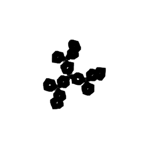 c1ccc2ccc(N(c3ccccc3)c3ccc(N(C4=CCC(N(c5ccccc5)c5ccc6ccccc6c5)C=C4)c4ccc(N(c5ccccc5)c5ccc6ccccc6c5)cc4)cc3)cc2c#1